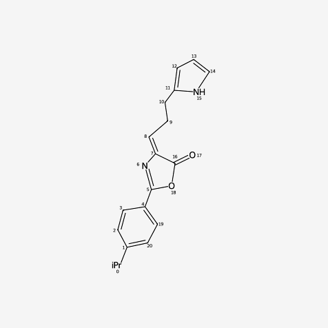 CC(C)c1ccc(C2=N/C(=C/CCc3ccc[nH]3)C(=O)O2)cc1